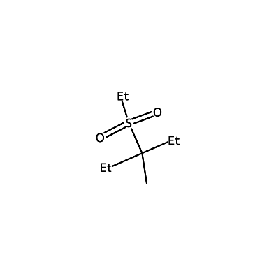 [CH2]CS(=O)(=O)C(C)(CC)CC